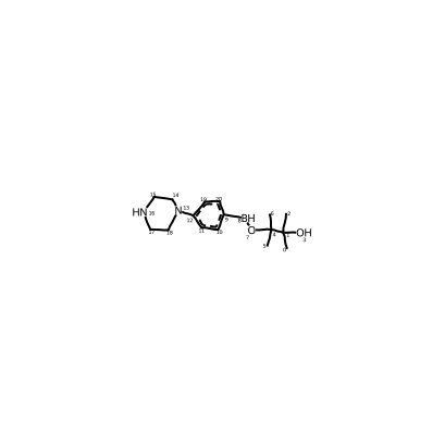 CC(C)(O)C(C)(C)OBc1ccc(N2CCNCC2)cc1